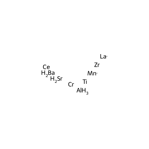 [AlH3].[BaH2].[Ce].[Cr].[La].[Mn].[SrH2].[Ti].[Zr]